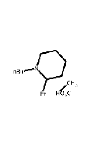 CC(=O)O.CCCCN1CCCCC1CC